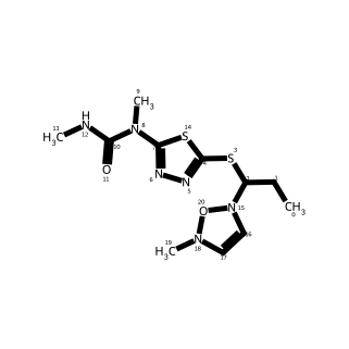 CCC(Sc1nnc(N(C)C(=O)NC)s1)N1C=CN(C)O1